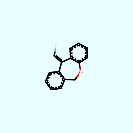 FC=C1c2ccccc2COc2ccccc21